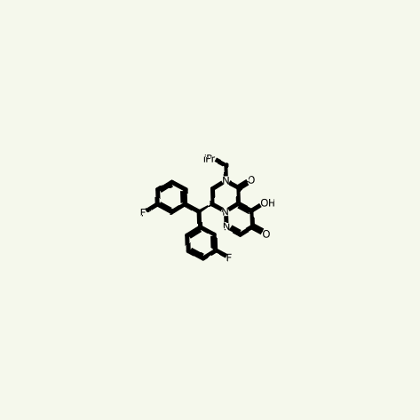 CC(C)CN1C[C@H](C(c2cccc(F)c2)c2cccc(F)c2)n2ncc(=O)c(O)c2C1=O